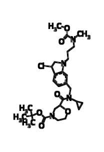 COC(=O)N(C)CCCN1CC(Cl)c2ccc(CN(C(=O)C3CN(C(=O)OC(C)(C)C)CCO3)C3CC3)cc21